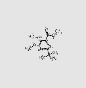 COC(=O)c1nc(C(C)(C)N)nc(OC)c1OC